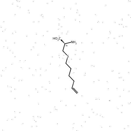 C=CCCCCSC[C@H](N)C(=O)O